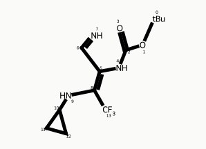 CC(C)(C)OC(=O)N/C(C=N)=C(/NC1CC1)C(F)(F)F